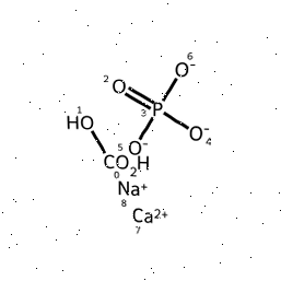 O=C(O)O.O=P([O-])([O-])[O-].[Ca+2].[Na+]